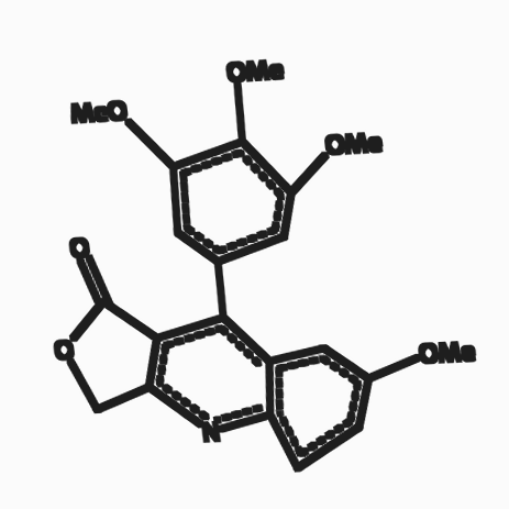 COc1ccc2nc3c(c(-c4cc(OC)c(OC)c(OC)c4)c2c1)C(=O)OC3